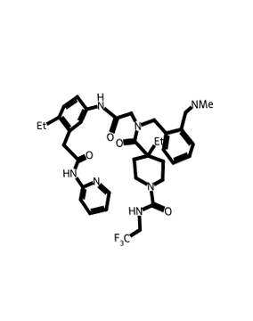 CCc1ccc(NC(=O)CN(Cc2ccccc2CNC)C(=O)C2(CC)CCN(C(=O)NCC(F)(F)F)CC2)cc1CC(=O)Nc1ccccn1